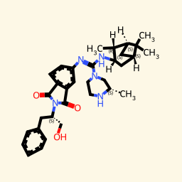 C[C@H]1[C@@H](NC(=Nc2ccc3c(c2)C(=O)N([C@H](CO)Cc2ccccc2)C3=O)N2CCN[C@@H](C)C2)C[C@@H]2C[C@@H]1C2(C)C